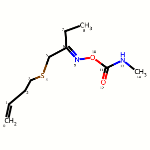 C=CCCSCC(CC)=NOC(=O)NC